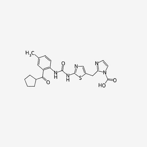 Cc1ccc(NC(=O)Nc2ncc(Cc3nccn3C(=O)O)s2)c(C(=O)C2CCCC2)c1